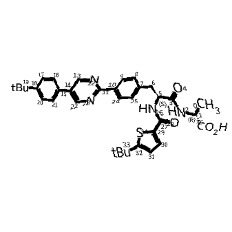 C[C@@H](NC(=O)[C@H](Cc1ccc(-c2ncc(-c3ccc(C(C)(C)C)cc3)cn2)cc1)NC(=O)c1ccc(C(C)(C)C)s1)C(=O)O